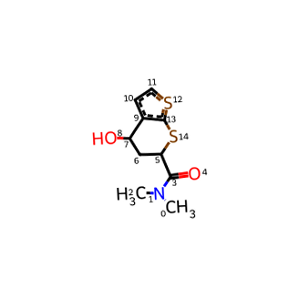 CN(C)C(=O)C1CC(O)c2ccsc2S1